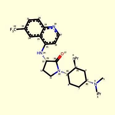 CCC[C@H]1C[C@H](N(C)C(C)C)CC[C@@H]1N1CC[C@H](Nc2ccnc3ccc(C(F)(F)F)cc23)C1=O